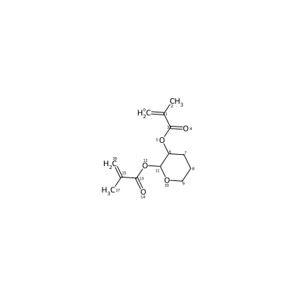 C=C(C)C(=O)OC1CCCOC1OC(=O)C(=C)C